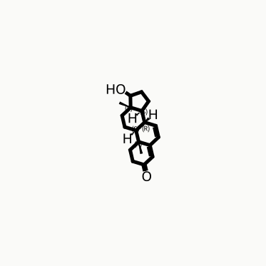 C[C@]12CCC(=O)C=C1C=C[C@@H]1[C@@H]2CC[C@]2(C)C(O)CC[C@@H]12